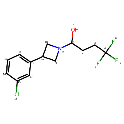 OC(CCC(F)(F)F)N1CC(c2cccc(Cl)c2)C1